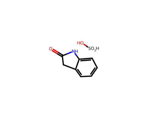 O=C1Cc2ccccc2N1.O=S(=O)(O)O